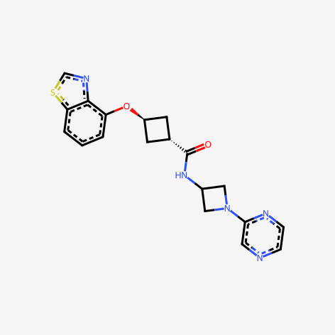 O=C(NC1CN(c2cnccn2)C1)[C@H]1C[C@H](Oc2cccc3scnc23)C1